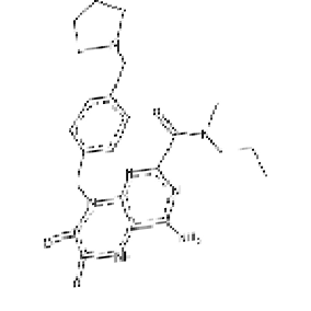 CCCN(C)C(=O)c1nc(N)c2[nH]c(=O)c(=O)n(Cc3ccc(CN4CCCC4)cc3)c2n1